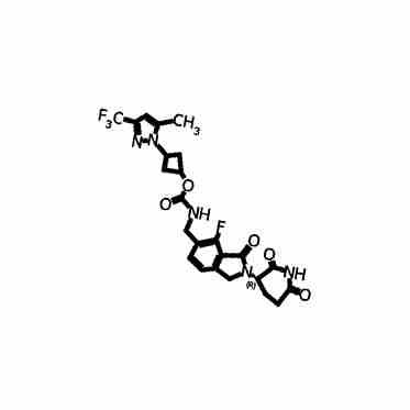 Cc1cc(C(F)(F)F)nn1C1CC(OC(=O)NCc2ccc3c(c2F)C(=O)N([C@@H]2CCC(=O)NC2=O)C3)C1